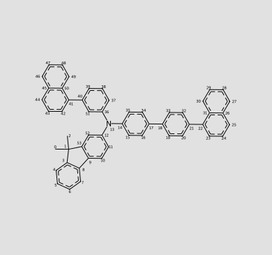 CC1(C)c2ccccc2-c2ccc(N(c3ccc(-c4ccc(-c5cccc6ccccc56)cc4)cc3)c3cccc(-c4cccc5ccccc45)c3)cc21